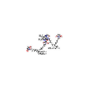 CCCCCCCCC(CCCCCC)C(CCCCCCCCN1C(=O)CC(N(CCC(C)CC(C)(C)CN(C(C)=O)C2CC(=O)N(CCCCCCCCC3C(CCCCCCCCN4C(=O)C=CC4=O)CCC(CCCCCC)C3CCCCCCCC)C2=O)C(C)=O)C1=O)C(CCC)CCCCCCCCN1C(=O)C=CC1=O